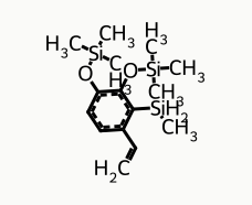 C=Cc1ccc(O[Si](C)(C)C)c(O[Si](C)(C)C)c1[SiH2]C